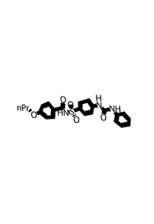 CCCOc1ccc(C(=O)NS(=O)(=O)c2ccc(NC(=O)Nc3ccccc3)cc2)cc1